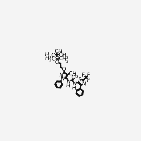 Cc1c(OCCO[Si](C)(C)C(C)(C)C)nn(-c2ccccc2)c1NC(=O)Nc1sc(C(F)(F)F)nc1-c1ccccc1